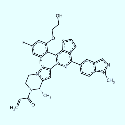 C=CC(=O)N1CCn2nc(-c3nc(-c4ccc5c(cnn5C)c4)c4ccsc4c3-c3c(F)cc(F)cc3OCCO)cc2[C@@H]1C